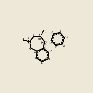 C[C@@H]1CN(C)Cc2ccccc2[C@H]1c1ccccc1